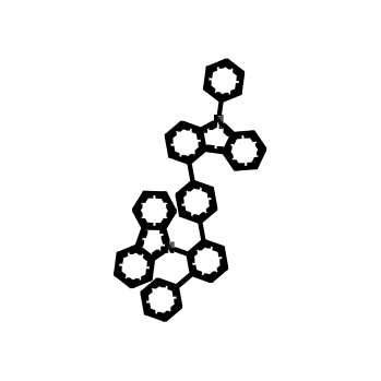 c1ccc(-c2cccc(-c3ccc(-c4cccc5c4c4ccccc4n5-c4ccccc4)cc3)c2-n2c3ccccc3c3ccccc32)cc1